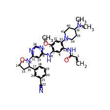 C=CC(=O)Nc1cc(Nc2cc(N3OCCC3c3cccc(C#N)c3)ncn2)c(OC)cc1N1CCC(N(C)C)CC1